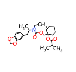 CCN(C(=O)OCC1(OC(=O)C(C)C)CCCCC1)C(C)Cc1ccc2c(c1)OCO2